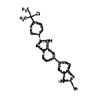 CCC(C)(C)c1ccc(-c2nc3ccc(-c4ccc5nc(C(C)C)[nH]c5c4)cc3[nH]2)cc1